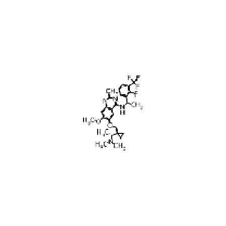 COc1cc2nc(C)nc(N[C@H](C)c3cccc(C(F)(F)F)c3F)c2cc1OCC1([C@@H](C)N(C)C)CC1